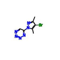 Cc1nn(-c2cnnnn2)c(C)c1Br